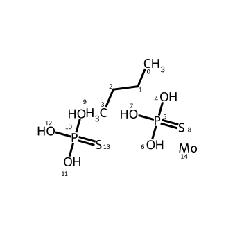 CCCC.OP(O)(O)=S.OP(O)(O)=S.[Mo]